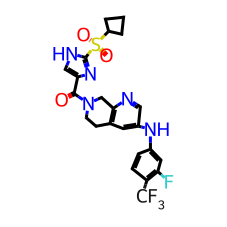 O=C(c1c[nH]c(S(=O)(=O)C2CCC2)n1)N1CCc2cc(Nc3ccc(C(F)(F)F)c(F)c3)cnc2C1